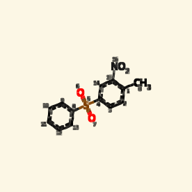 Cc1ccc(S(=O)(=O)c2ccccc2)cc1[N+](=O)[O-]